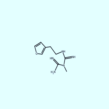 CN(C(=N)N)C(=N)NCCc1ccoc1